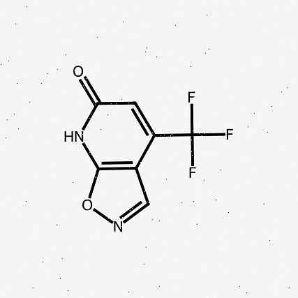 O=c1cc(C(F)(F)F)c2cnoc2[nH]1